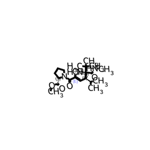 CNC(=O)[C@](N)([C@H](/C=C(\C)C(=O)N1CCC[C@H]1C(=O)OC)C(C)C)C(C)(C)C